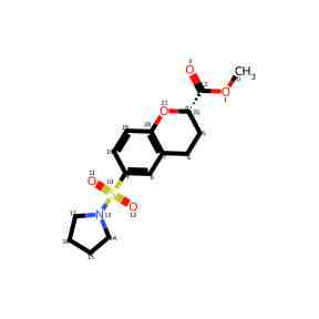 COC(=O)[C@@H]1CCc2cc(S(=O)(=O)N3CCCC3)ccc2O1